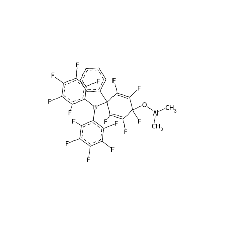 [CH3][Al]([CH3])[O]C1(F)C(F)=C(F)C(B(c2c(F)c(F)c(F)c(F)c2F)c2c(F)c(F)c(F)c(F)c2F)(c2ccccc2)C(F)=C1F